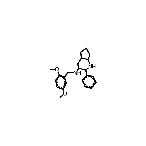 COc1ccc(OC)c(CNC2CC3CCCC3NC2c2ccccc2)c1